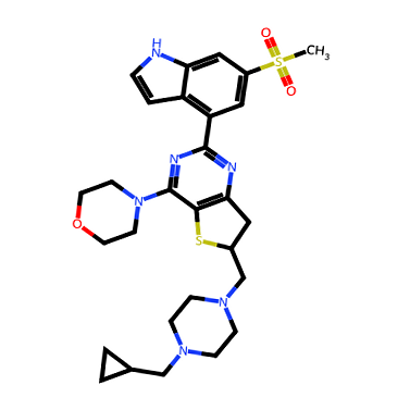 CS(=O)(=O)c1cc(-c2nc3c(c(N4CCOCC4)n2)SC(CN2CCN(CC4CC4)CC2)C3)c2cc[nH]c2c1